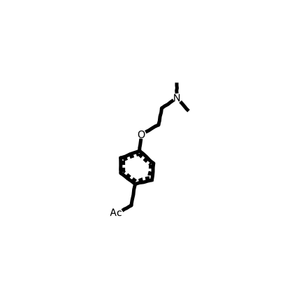 CC(=O)Cc1ccc(OCCN(C)C)cc1